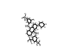 Cc1cc(Nc2c3ccccc3c(Nc3cc(C(C)(C)C)cc([Si](C)(C)C)c3)c3cc(-c4ccccc4)ccc23)cc([SiH](C)C)c1